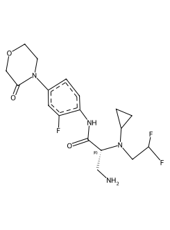 NC[C@H](C(=O)Nc1ccc(N2CCOCC2=O)cc1F)N(CC(F)F)C1CC1